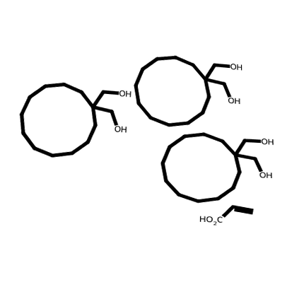 C=CC(=O)O.OCC1(CO)CCCCCCCCCCC1.OCC1(CO)CCCCCCCCCCC1.OCC1(CO)CCCCCCCCCCC1